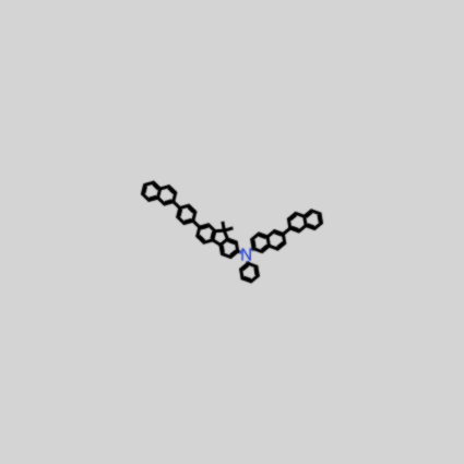 CC1(C)c2cc(-c3ccc(-c4ccc5ccccc5c4)cc3)ccc2-c2ccc(N(c3ccccc3)c3ccc4cc(-c5ccc6ccccc6c5)ccc4c3)cc21